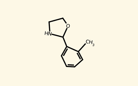 Cc1ccccc1C1NCCO1